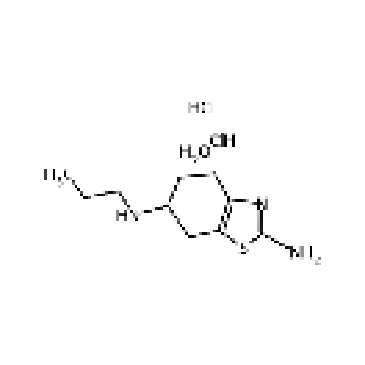 CCCNC1CCc2nc(N)sc2C1.Cl.Cl.O